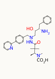 C[C@H](N(C)C(=O)O)C(C)(C)C(=O)NN(Cc1ccc(-c2ccccn2)cc1)C[C@H](O)[C@@H](N)Cc1ccccc1